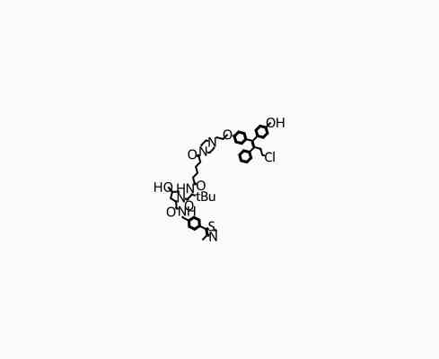 Cc1ncsc1-c1ccc(CNC(=O)C2CC(O)CN2C(=O)C(NC(=O)CCCCC(=O)N2CCN(CCOc3ccc(C(=C(CCCl)c4ccccc4)c4ccc(O)cc4)cc3)CC2)C(C)(C)C)cc1